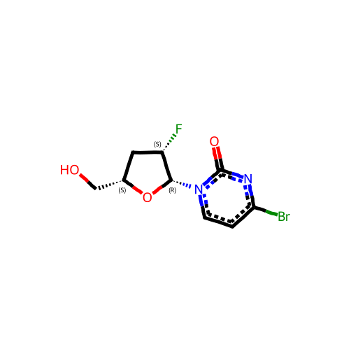 O=c1nc(Br)ccn1[C@@H]1O[C@H](CO)C[C@@H]1F